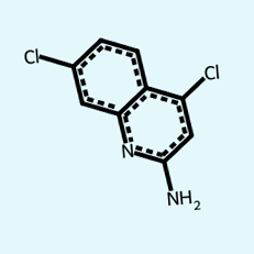 Nc1cc(Cl)c2ccc(Cl)cc2n1